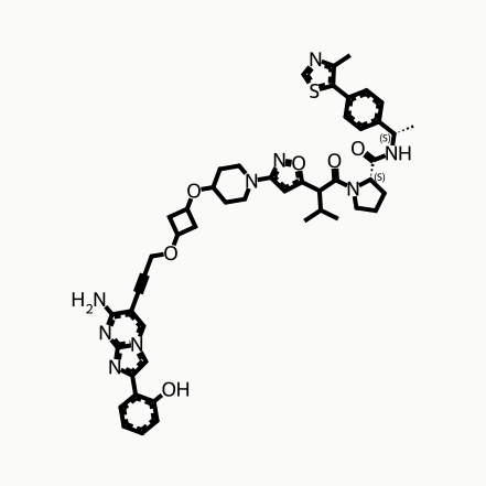 Cc1ncsc1-c1ccc([C@H](C)NC(=O)[C@@H]2CCCN2C(=O)C(c2cc(N3CCC(OC4CC(OCC#Cc5cn6cc(-c7ccccc7O)nc6nc5N)C4)CC3)no2)C(C)C)cc1